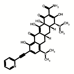 CN(C)c1cc(C#Cc2ccccn2)c(O)c2c1C[C@H]1C[C@H]3[C@H](N(C)C)C(O)=C(C(N)=O)C(=O)[C@@]3(O)C(O)=C1C2=O